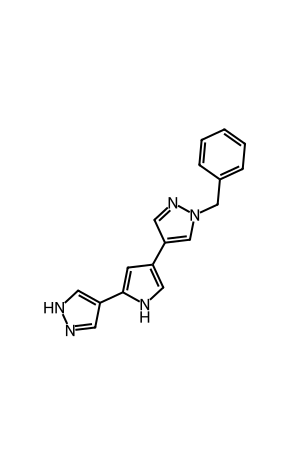 c1ccc(Cn2cc(-c3c[nH]c(-c4cn[nH]c4)c3)cn2)cc1